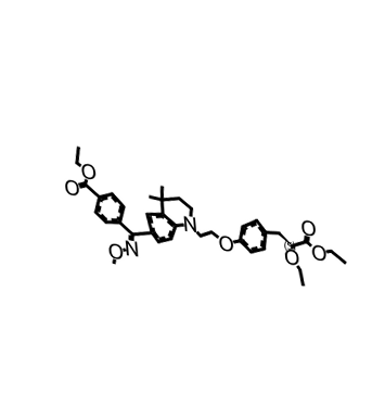 CCOC(=O)c1ccc(C(=NOC)c2ccc3c(c2)C(C)(C)CCN3CCOc2ccc(C[C@H](OCC)C(=O)OCC)cc2)cc1